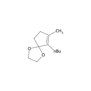 CCCCC1=C(C)CCC12OCCO2